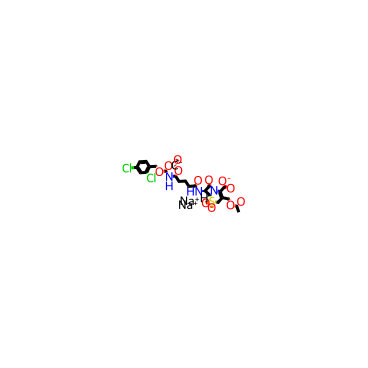 CC(=O)OCC1=C(C(=O)[O-])N2C(=O)[C@H](NC(=O)CCCC(NC(=O)OCc3ccc(Cl)cc3Cl)O[C-]=O)[C@@H]2S(=O)(=O)C1.[Na+].[Na+]